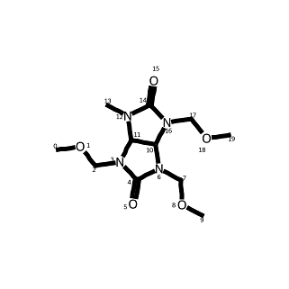 COCN1C(=O)N(COC)C2C1N(C)C(=O)N2COC